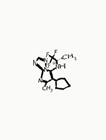 Cc1nc2ncnn2c(N[C@@H](C)C(F)(F)F)c1C1CCCC1